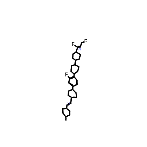 CC1CCC(/C=C/C2CCC(c3ccc(C4CCC(C5CCC(/C(F)=C/CF)CC5)CC4)c(F)c3)CC2)CC1